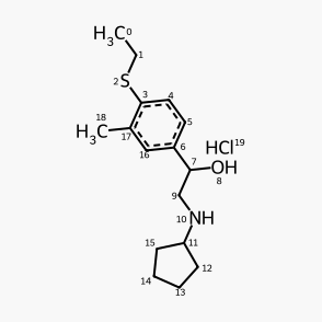 CCSc1ccc(C(O)CNC2CCCC2)cc1C.Cl